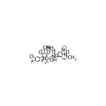 Cc1ccc2cc(C(=O)NCC(O)(c3cc4c(c(-c5ccc(F)c(Cl)c5)n3)OC[C@]4(C)C(N)=O)C(F)(F)F)cc(N3CCCC3=O)c2n1